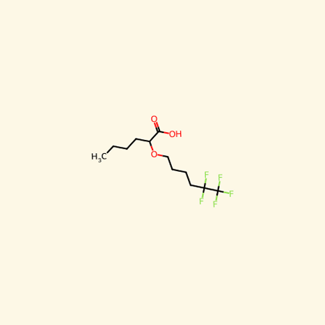 CCCCC(OCCCCC(F)(F)C(F)(F)F)C(=O)O